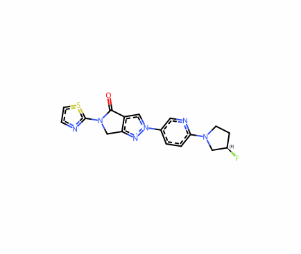 O=C1c2cn(-c3ccc(N4CC[C@@H](F)C4)nc3)nc2CN1c1nccs1